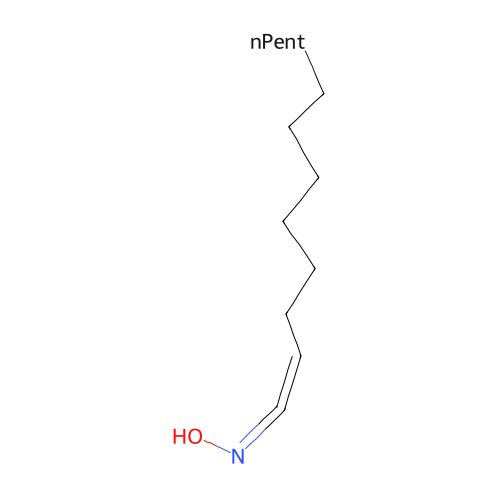 CCCCCCCCCCCC=C=NO